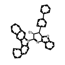 CC[C@@H]1C(n2c3cc4ccccc4cc3c3c4ccccc4ccc32)=Nc2c(oc3ccccc23)C1c1ccc(-c2ccccc2)cc1